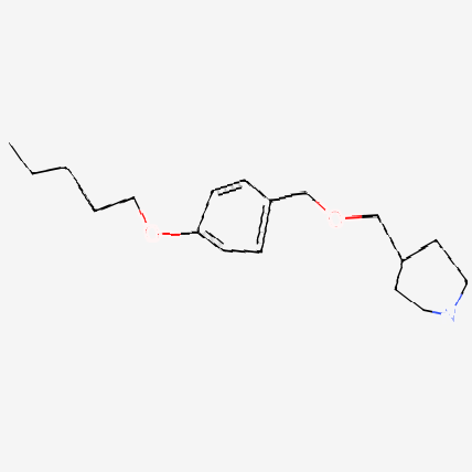 CCCCCOc1ccc(COCC2CC[N]CC2)cc1